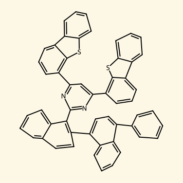 c1ccc(-c2ccc(-c3ccc4ccccc4c3-c3nc(-c4cccc5c4sc4ccccc45)cc(-c4cccc5c4sc4ccccc45)n3)c3ccccc23)cc1